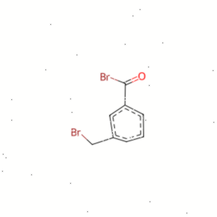 O=C(Br)c1cccc(CBr)c1